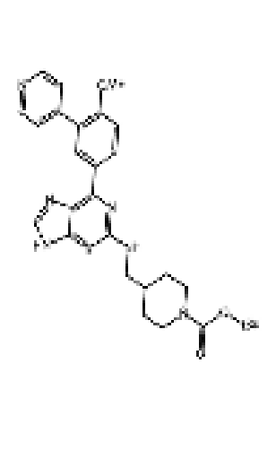 COc1ccc(-c2nc(NCC3CCN(C(=O)OC(C)(C)C)CC3)nc3[nH]cnc23)cc1-c1ccncc1